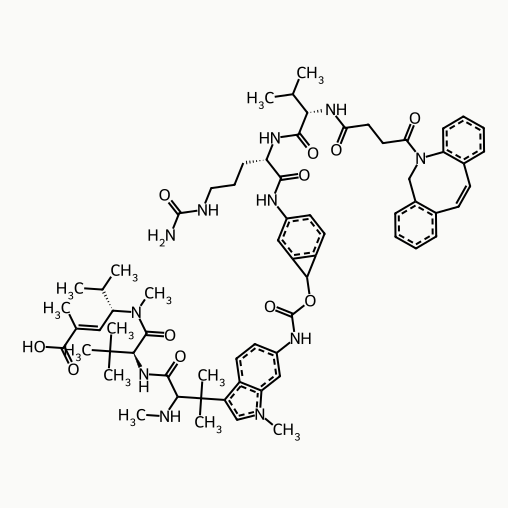 CNC(C(=O)N[C@H](C(=O)N(C)[C@H](/C=C(\C)C(=O)O)C(C)C)C(C)(C)C)C(C)(C)c1cn(C)c2cc(NC(=O)OC3c4ccc(NC(=O)[C@H](CCCNC(N)=O)NC(=O)[C@@H](NC(=O)CCC(=O)N5Cc6ccccc6/C=C\c6ccccc65)C(C)C)cc43)ccc12